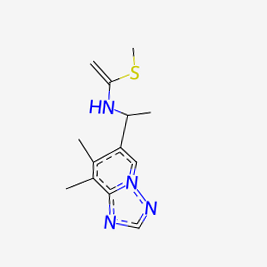 C=C(NC(C)c1cn2ncnc2c(C)c1C)SC